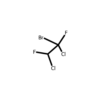 FC(Cl)C(F)(Cl)Br